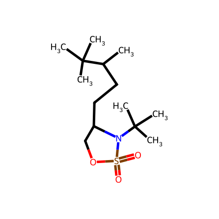 CC(CCC1COS(=O)(=O)N1C(C)(C)C)C(C)(C)C